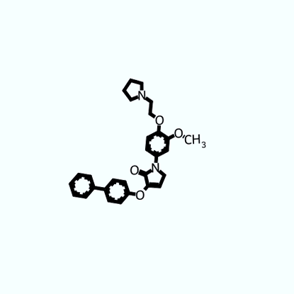 COc1cc(N2CC=C(Oc3ccc(-c4ccccc4)cc3)C2=O)ccc1OCCN1CCCC1